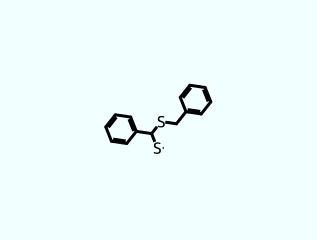 [S]C(SCc1ccccc1)c1ccccc1